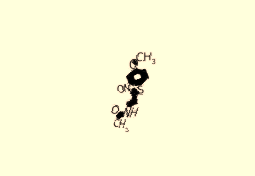 COc1ccc2sc(CCNC(C)=O)[n+]([O-])c2c1